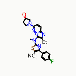 CCc1nc2ccc(N3CCC(=O)C3)nn2c1N(C)c1nc(-c2ccc(F)cc2)c(C#N)s1